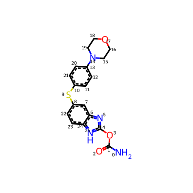 NC(=O)Oc1nc2cc(Sc3ccc(N4CCOCC4)cc3)ccc2[nH]1